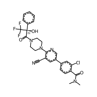 CN(C)C(=O)c1ccc(-c2cnc(N3CCN(C(=O)[C@@](O)(c4ccccc4)C(F)(F)F)CC3)c(C#N)c2)cc1Cl